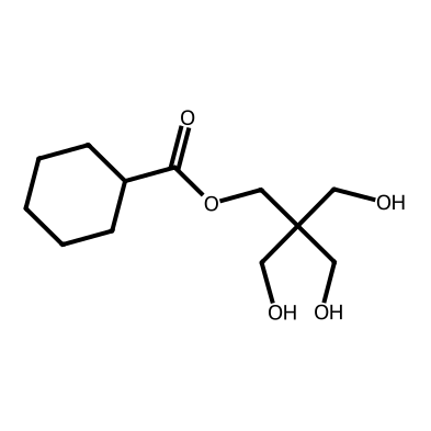 O=C(OCC(CO)(CO)CO)C1CCCCC1